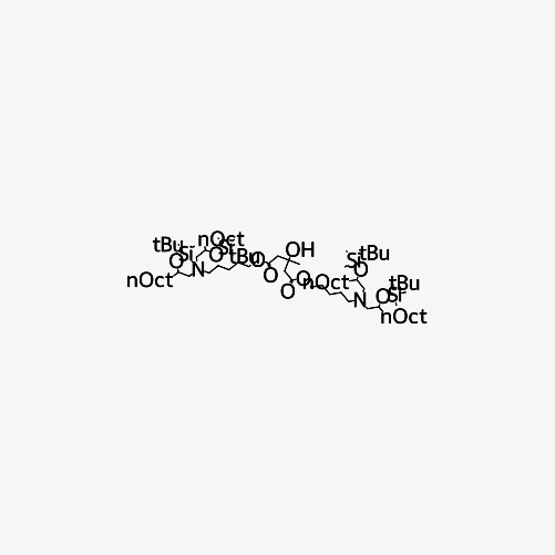 CCCCCCCCC(CN(CCCCCOC(=O)CC(C)(O)CC(=O)OCCCCCN(CC(CCCCCCCC)O[Si](C)(C)C(C)(C)C)CC(CCCCCCCC)O[Si](C)(C)C(C)(C)C)CC(CCCCCCCC)O[Si](C)(C)C(C)(C)C)O[Si](C)(C)C(C)(C)C